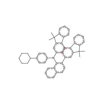 CC1(C)c2ccccc2-c2ccc(-c3ccc4ccccc4c3N(c3ccc(C4CCCCC4)cc3)c3ccc4c(c3)C(C)(C)c3ccccc3-4)cc21